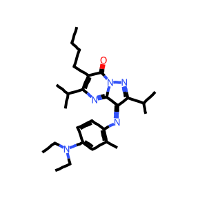 CCCCc1c(C(C)C)nc2n(c1=O)N=C(C(C)C)C2=Nc1ccc(N(CC)CC)cc1C